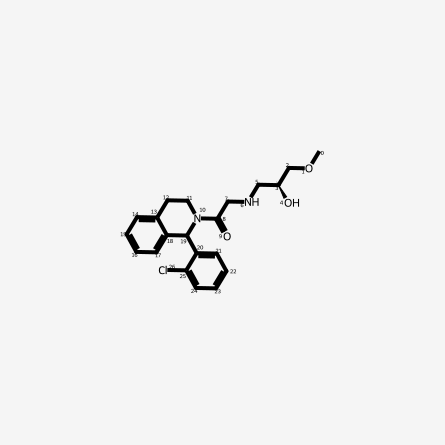 COC[C@@H](O)CNCC(=O)N1CCc2ccccc2C1c1ccccc1Cl